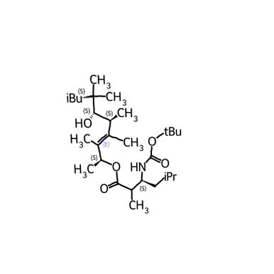 CC[C@H](C)C(C)(C)[C@@H](O)[C@@H](C)/C(C)=C(\C)[C@H](C)OC(=O)C(C)[C@H](CC(C)C)NC(=O)OC(C)(C)C